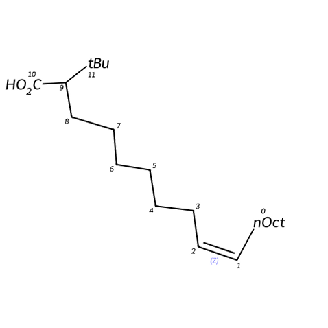 CCCCCCCC/C=C\CCCCCCC(C(=O)O)C(C)(C)C